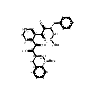 CC(C)(C)ON[C@@H](Cc1ccccc1)C(=O)C(=O)C1=CNCN=C1C(=O)C(=O)[C@H](Cc1ccccc1)NOC(C)(C)C